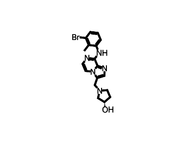 Cc1c(Br)cccc1Nc1nccn2c(CN3CC[C@H](O)C3)cnc12